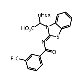 CCCCCCC(C(=O)O)n1c(=NC(=O)c2cccc(C(F)(F)F)c2)sc2ccccc21